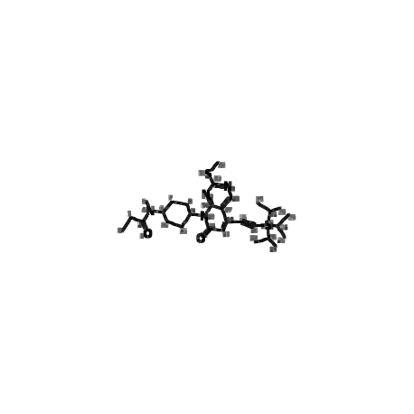 CCC(=O)N(C)C1CCC(n2c(=O)cc(C#C[Si](C(C)C)(C(C)C)C(C)C)c3cnc(SC)nc32)CC1